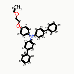 C=COCCOc1ccc(N(c2ccc(-c3ccccc3)cc2)c2ccc(-c3ccccc3)cc2)cc1